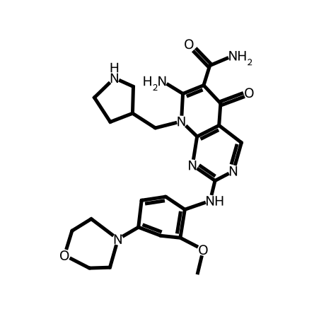 COc1cc(N2CCOCC2)ccc1Nc1ncc2c(=O)c(C(N)=O)c(N)n(CC3CCNC3)c2n1